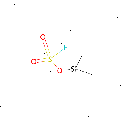 C[Si](C)(C)OS(=O)(=O)F